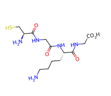 NCCCC[C@H](NC(=O)CNC(=O)[C@@H](N)CS)C(=O)NCC(=O)O